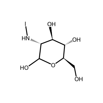 OC[C@H]1OC(O)[C@H](NI)[C@@H](O)[C@@H]1O